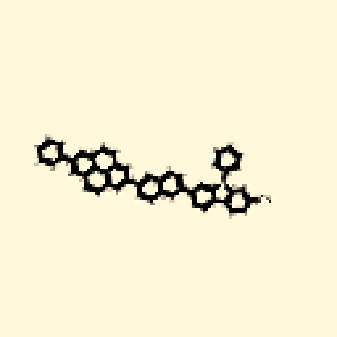 N#Cc1ccc2c3ccc(-c4ccc5cc(-c6cc7ccc8cc(-c9ccccc9)cc9ccc(c6)c7c89)ccc5c4)cc3n(-c3ccccc3)c2c1